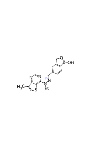 CCN(/N=C/c1ccc2c(c1)COB2O)c1ncnc2c(C)csc12